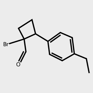 CCc1ccc(C2CCC2(Br)C=O)cc1